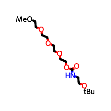 COCCOCCOCCOCCOC(=O)NCCOC(C)(C)C